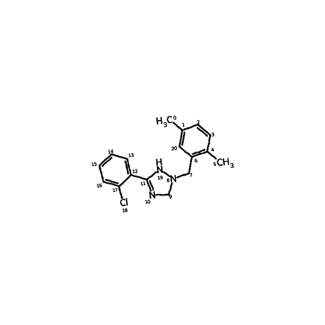 Cc1ccc(C)c(CN2CN=C(c3ccccc3Cl)N2)c1